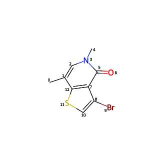 Cc1cn(C)c(=O)c2c(Br)csc12